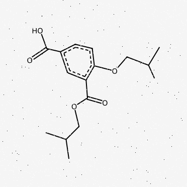 CC(C)COC(=O)c1cc(C(=O)O)ccc1OCC(C)C